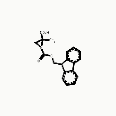 CC1(C(=O)O)CN1C(=O)OCC1c2ccccc2-c2ccccc21